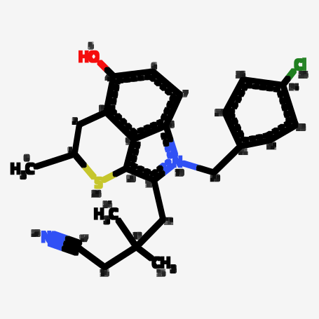 CC1Cc2c(O)ccc3c2c(c(CC(C)(C)CC#N)n3Cc2ccc(Cl)cc2)S1